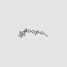 CCCCCC1CCC(c2ccc(C3CCC(C4CCC(C(F)(F)Oc5cc(F)c(C(F)(F)C(F)F)c(F)c5)CC4)CC3)c(F)c2)CC1